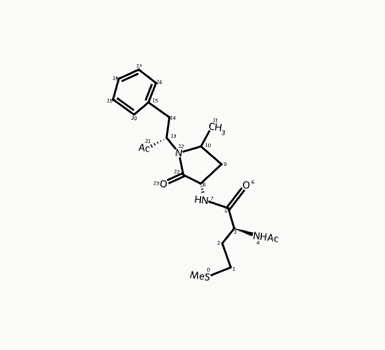 CSCC[C@H](NC(C)=O)C(=O)N[C@H]1CC(C)N([C@@H](Cc2ccccc2)C(C)=O)C1=O